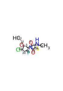 C#CCOc1cc(N2C(=O)C3NC(C)SC3C2=O)c(F)cc1Cl